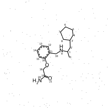 CC(CC1CCCCC1)NCc1ccccc1OCC(N)=O